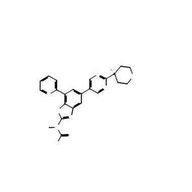 CCN(C(N)=O)c1nc2cc(-c3cnc([C@@]4(O)CCOC[C@H]4O)nc3)cc(-c3ccccn3)c2s1